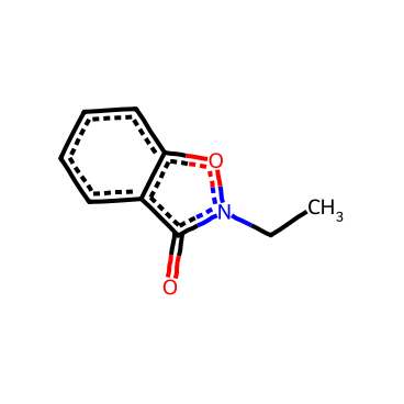 CCn1oc2ccccc2c1=O